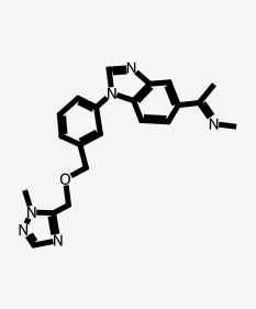 C/N=C(\C)c1ccc2c(c1)ncn2-c1cccc(COCc2ncnn2C)c1